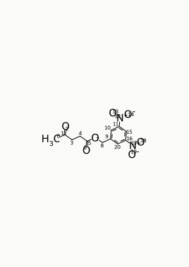 CC(=O)CCC(=O)OCc1cc([N+](=O)[O-])cc([N+](=O)[O-])c1